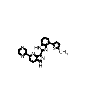 Cc1ccc(-c2cccc3[nH]c(-c4n[nH]c5ccc(-c6cnccn6)nc45)nc23)s1